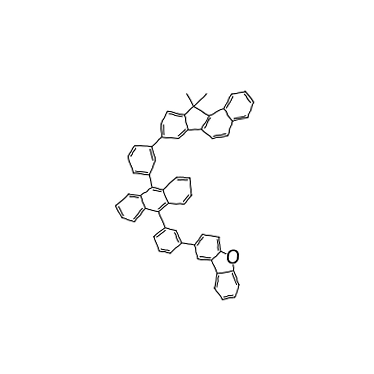 CC1(C)c2ccc(-c3cccc(-c4c5ccccc5c(-c5cccc(-c6ccc7oc8ccccc8c7c6)c5)c5ccccc45)c3)cc2-c2ccc3ccccc3c21